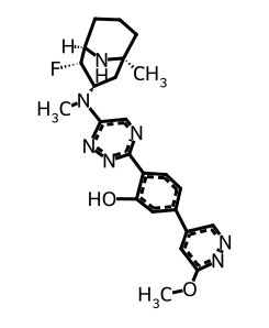 COc1cc(-c2ccc(-c3ncc(N(C)[C@H]4C[C@]5(C)CCC[C@@H](N5)[C@H]4F)nn3)c(O)c2)cnn1